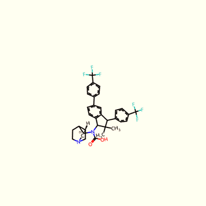 CC1(C)C(c2ccc(C(F)(F)F)cc2)c2cc(-c3ccc(C(F)(F)F)cc3)ccc2C1N(C(=O)O)[C@@H]1CN2CCC1CC2